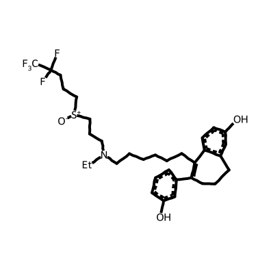 CCN(CCCCCCC1=C(c2cccc(O)c2)CCCc2cc(O)ccc21)CCC[S+]([O-])CCCC(F)(F)C(F)(F)F